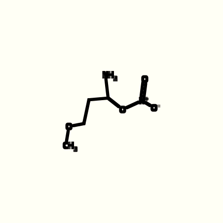 COCCC(N)O[N+](=O)[O-]